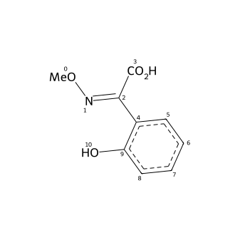 CON=C(C(=O)O)c1ccccc1O